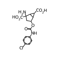 NC1(C(=O)O)CC(OC(=O)Nc2ccc(Cl)cc2)C2C1[C@H]2C(=O)O